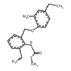 C=Cc1cccc(COc2ccc(CC)cc2C)c1NC(=O)SC